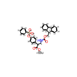 CC(C)(C)OC(=O)C(CNC(=O)OCC1c2ccccc2-c2ccccc21)c1ccc(OS(=O)(=O)c2ccccc2)cc1